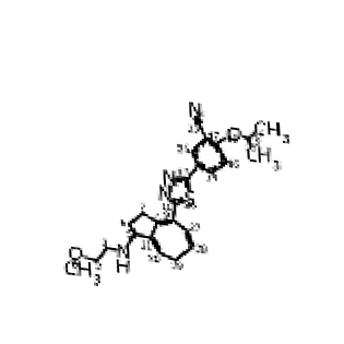 COCCNC1CCC2=C(c3nnc(-c4ccc(OC(C)C)c(C#N)c4)s3)C=CCC=C21